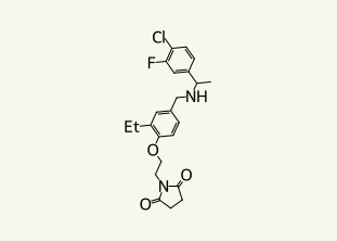 CCc1cc(CNC(C)c2ccc(Cl)c(F)c2)ccc1OCCN1C(=O)CCC1=O